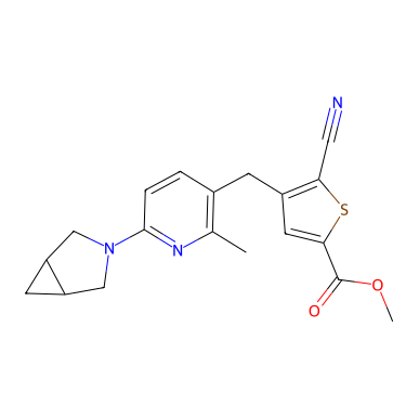 COC(=O)c1cc(Cc2ccc(N3CC4CC4C3)nc2C)c(C#N)s1